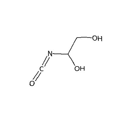 O=C=NC(O)CO